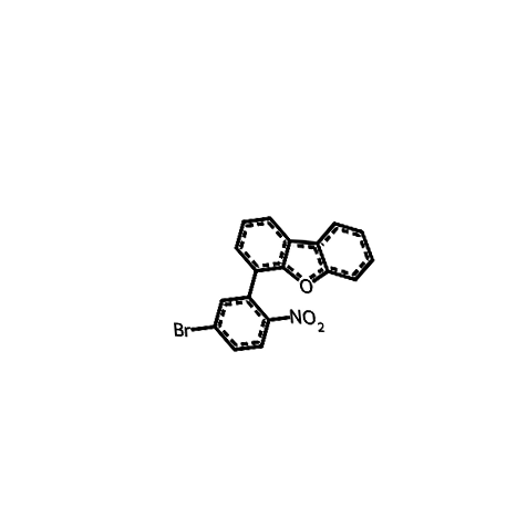 O=[N+]([O-])c1ccc(Br)cc1-c1cccc2c1oc1ccccc12